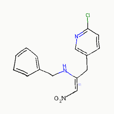 O=[N+]([O-])/C=C(/Cc1ccc(Cl)nc1)NCc1ccccc1